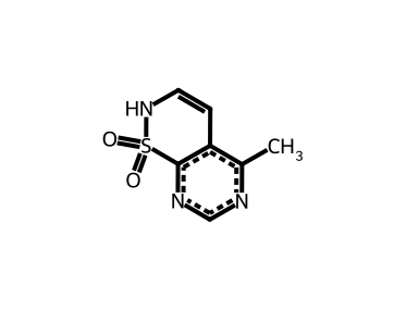 Cc1ncnc2c1C=CNS2(=O)=O